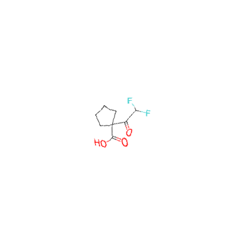 O=C(O)C1(C(=O)C(F)F)CCCC1